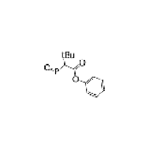 CC(C)(C)C(P=O)C(=O)Oc1ccccc1